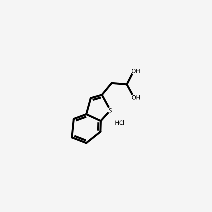 Cl.OC(O)Cc1cc2ccccc2s1